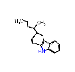 CCCC(C)C1CCc2[nH]c3ccccc3c2C1